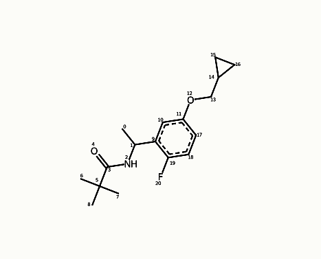 CC(NC(=O)C(C)(C)C)c1cc(OCC2CC2)ccc1F